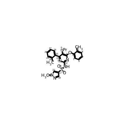 CCCc1c(Oc2ccccc2C)nc(NS(=O)(=O)c2cnn(C)c2)nc1-c1ccccc1C